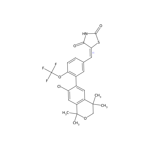 CC1(C)COC(C)(C)c2cc(Cl)c(-c3cc(/C=C4/SC(=O)NC4=O)ccc3OC(F)(F)F)cc21